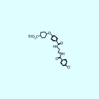 CCOC(=O)[C@H]1CC[C@@H](Oc2ccc(C(=O)NCCNC(=O)c3ccc(Cl)cc3)cc2)CC1